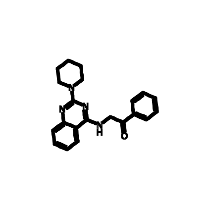 O=C(CNc1nc(N2CCCCC2)nc2ccccc12)c1ccccc1